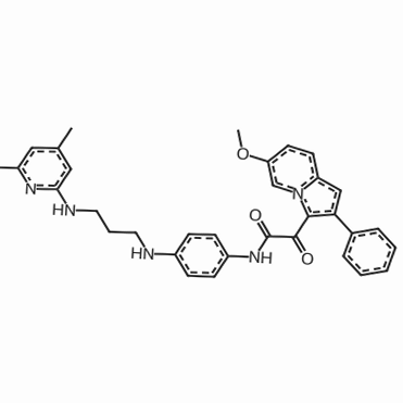 COc1ccc2cc(-c3ccccc3)c(C(=O)C(=O)Nc3ccc(NCCCNc4cc(C)cc(C)n4)cc3)n2c1